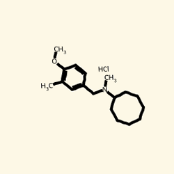 COc1ccc(CN(C)C2CCCCCCC2)cc1C.Cl